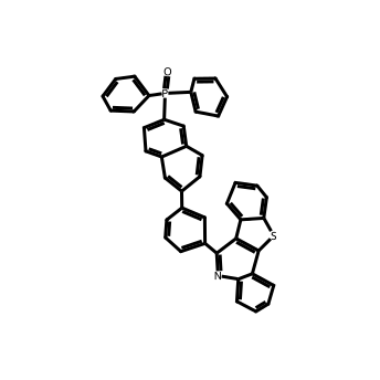 O=P(c1ccccc1)(c1ccccc1)c1ccc2cc(-c3cccc(-c4nc5ccccc5c5sc6ccccc6c45)c3)ccc2c1